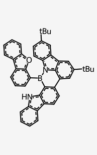 CC(C)(C)c1ccc2c(c1)c1cc(C(C)(C)C)cc3c1n2B(c1cccc2c1oc1ccccc12)c1c-3ccc2c1[nH]c1ccccc12